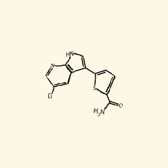 NC(=O)c1ccc(-c2c[nH]c3ncc(Cl)cc23)s1